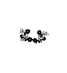 CN[C@@H](C(=O)N1CCC[C@H]1c1ncc(-c2ccc(-c3ccc(C4=CNC([C@@H]5CCCN5C(=O)[C@H](NC=O)c5ccccc5)N4)cc3)cc2F)[nH]1)c1ccccc1